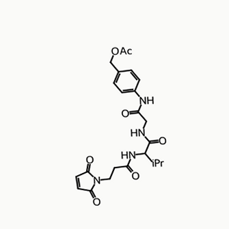 CC(=O)OCc1ccc(NC(=O)CNC(=O)C(NC(=O)CCN2C(=O)C=CC2=O)C(C)C)cc1